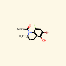 COC(=O)N1c2c(F)cc(Br)c(O)c2CC[C@@H]1C